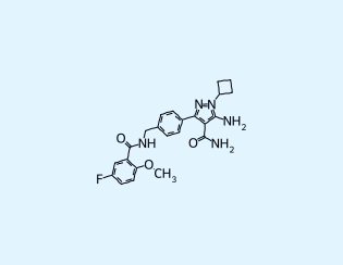 COc1ccc(F)cc1C(=O)NCc1ccc(-c2nn(C3CCC3)c(N)c2C(N)=O)cc1